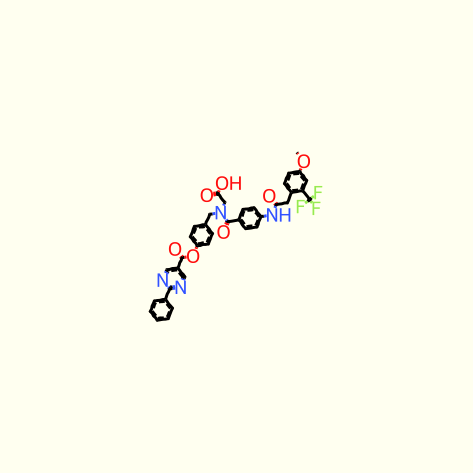 COc1ccc(CC(=O)Nc2ccc(C(=O)N(CC(=O)O)Cc3ccc(OC(=O)c4cnc(-c5ccccc5)nc4)cc3)cc2)c(C(F)(F)F)c1